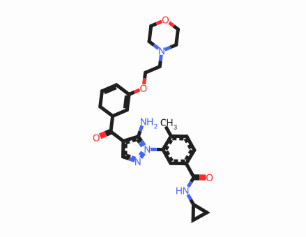 Cc1ccc(C(=O)NC2CC2)cc1-n1ncc(C(=O)C2C=C(OCCN3CCOCC3)C=CC2)c1N